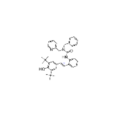 CC(C)(C)c1cc(/C=C/c2ccccc2NC(=O)N(Cc2ccccc2)Cc2ccccn2)cc(C(C)(C)C)c1O